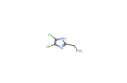 Clc1nc(CC(Cl)(Cl)Cl)[nH]c1Cl